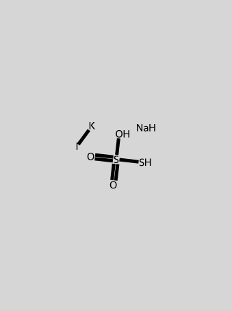 O=S(=O)(O)S.[K][I].[NaH]